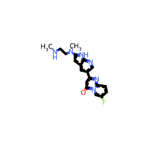 CNCCN(C)c1cc2cc(-c3cc(=O)n4cc(F)ccc4n3)cnc2[nH]1